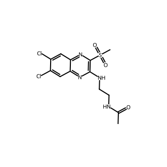 CC(=O)NCCNc1nc2cc(Cl)c(Cl)cc2nc1S(C)(=O)=O